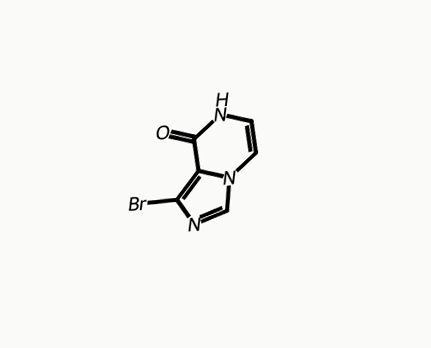 O=c1[nH]ccn2cnc(Br)c12